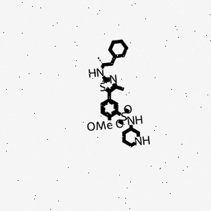 COc1ccc(-c2sc(N[C@H](C)CC3CCCCC3)nc2C)cc1S(=O)(=O)NC1CCCNC1